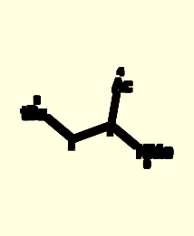 CNC(CC(C)(C)C)C(C)=O